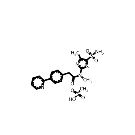 CS(=O)(=O)O.Cc1nc(N(C)C(=O)Cc2ccc(-c3ccccn3)cc2)sc1S(N)(=O)=O